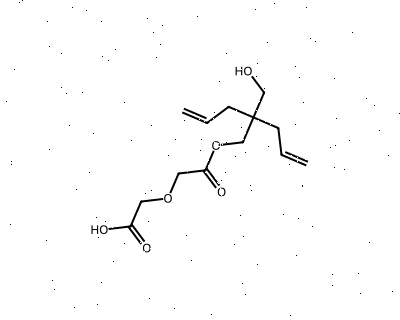 C=CCC(CO)(CC=C)COC(=O)COCC(=O)O